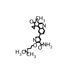 CN(C)CCCOc1ncc(-c2ccc3ncc4c(c3c2)C2(CC2)C(=O)N4C)cc1C(N)=O